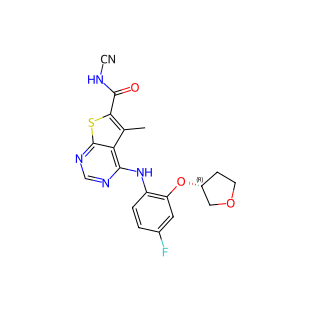 Cc1c(C(=O)NC#N)sc2ncnc(Nc3ccc(F)cc3O[C@@H]3CCOC3)c12